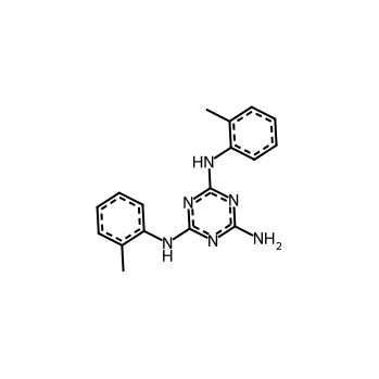 Cc1ccccc1Nc1nc(N)nc(Nc2ccccc2C)n1